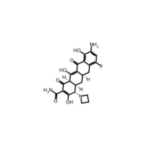 NC(=O)C1=C(O)[C@@H](N2CCC2)[C@@H]2C[C@@H]3Cc4c(F)cc(N)c(O)c4C(=O)C3=C(O)[C@@H]2C1=O